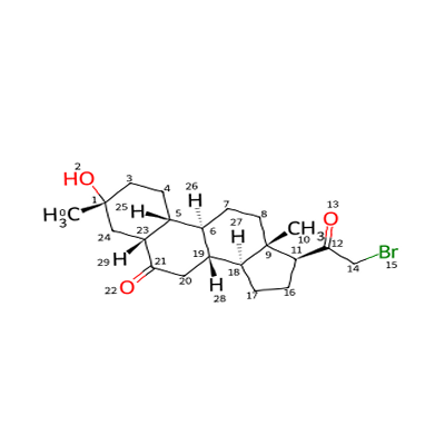 C[C@@]1(O)CC[C@@H]2[C@H]3CC[C@]4(C)[C@@H](C(=O)CBr)CC[C@H]4[C@@H]3CC(=O)[C@@H]2C1